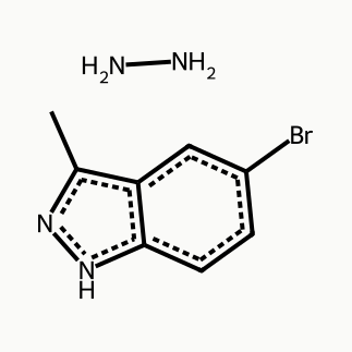 Cc1n[nH]c2ccc(Br)cc12.NN